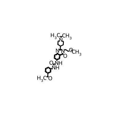 COCCn1c(C2CCN(C(C)C)CC2)nc2ccc(NC(=O)Nc3cccc(C(C)=O)c3)cc2c1=O